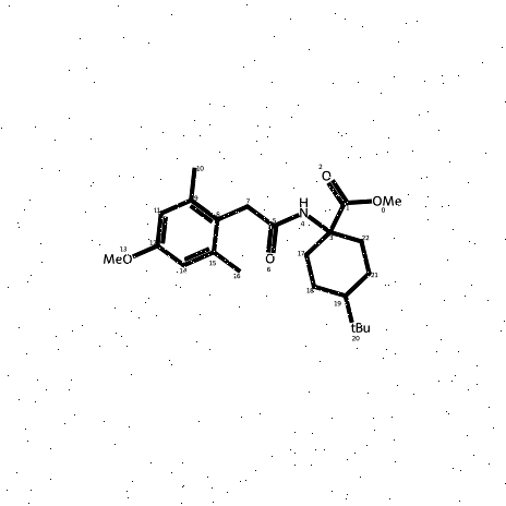 COC(=O)C1(NC(=O)Cc2c(C)cc(OC)cc2C)CCC(C(C)(C)C)CC1